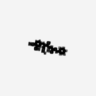 N[C@@H](Cc1ccc(O)c(O)c1)C(=O)NCC(=O)OCc1ccccc1